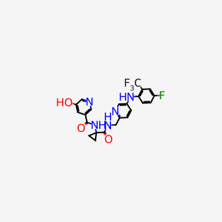 O=C(NC1(C(=O)NCc2ccc(Nc3ccc(F)cc3C(F)(F)F)cn2)CC1)c1cncc(O)c1